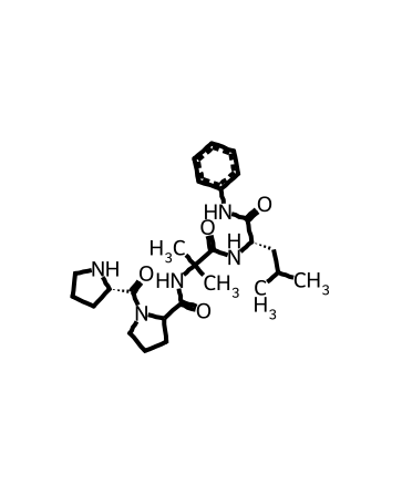 CC(C)C[C@H](NC(=O)C(C)(C)NC(=O)C1CCCN1C(=O)[C@@H]1CCCN1)C(=O)Nc1ccccc1